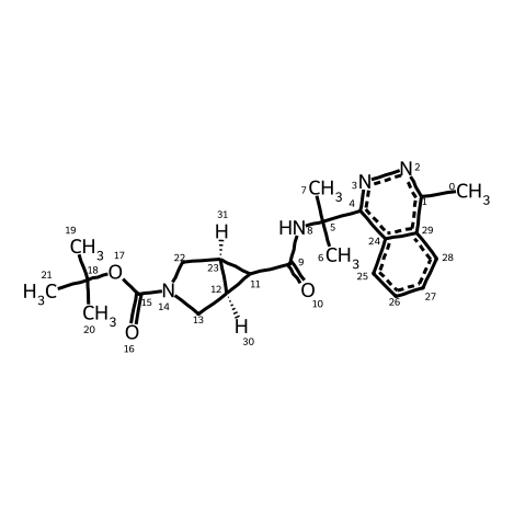 Cc1nnc(C(C)(C)NC(=O)C2[C@H]3CN(C(=O)OC(C)(C)C)C[C@@H]23)c2ccccc12